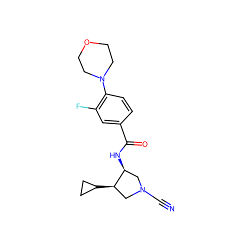 N#CN1C[C@H](NC(=O)c2ccc(N3CCOCC3)c(F)c2)[C@H](C2CC2)C1